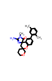 Cc1ccc(C)c(-c2ccc3c(c2)C2(CC4(CCCOC4)O3)N=C(N)N(C)C2=O)c1